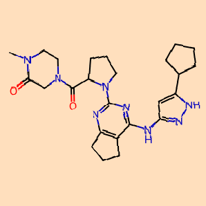 CN1CCN(C(=O)C2CCCN2c2nc3c(c(Nc4cc(C5CCCC5)[nH]n4)n2)CCC3)CC1=O